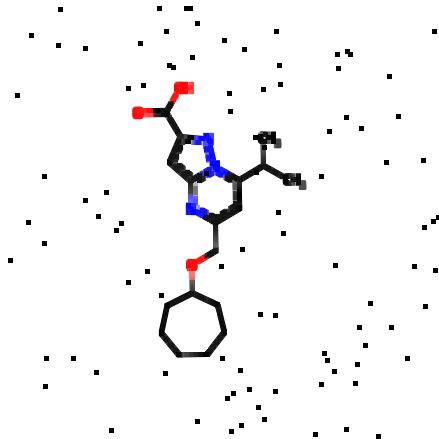 CC(C)c1cc(COC2CCCCCC2)nc2cc(C(=O)O)nn12